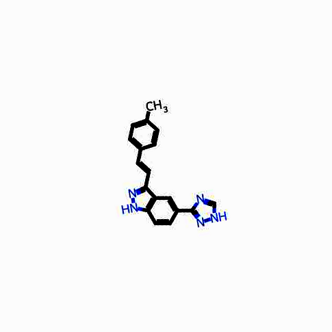 Cc1ccc(/C=C/c2n[nH]c3ccc(-c4nc[nH]n4)cc23)cc1